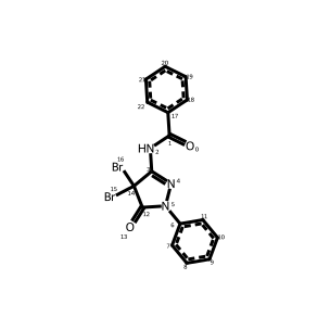 O=C(NC1=NN(c2ccccc2)C(=O)C1(Br)Br)c1ccccc1